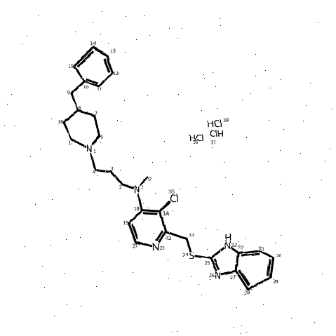 CN(CCCN1CCC(Cc2ccccc2)CC1)c1ccnc(CSc2nc3ccccc3[nH]2)c1Cl.Cl.Cl.Cl